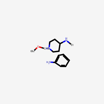 CC(C)(C)OC=O.CCNC1CCNCC1.Nc1ccccc1